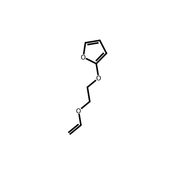 C=COCCOc1ccco1